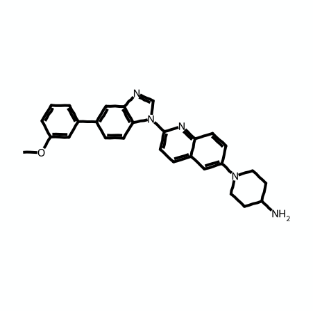 COc1cccc(-c2ccc3c(c2)ncn3-c2ccc3cc(N4CCC(N)CC4)ccc3n2)c1